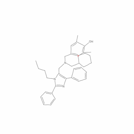 CCCCn1c(-c2ccccc2)nc(-c2ccccc2)c1CN(Cc1cc(C)c(O)c(C)c1)CC1CCCCC1